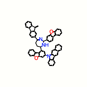 C=C1c2ccccc2-c2ccc(C3=NC(c4ccc5c(c4)oc4ccccc45)NC(c4cc(-n5c6ccccc6c6cc7ccccc7cc65)cc5oc6ccccc6c45)CC3)cc21